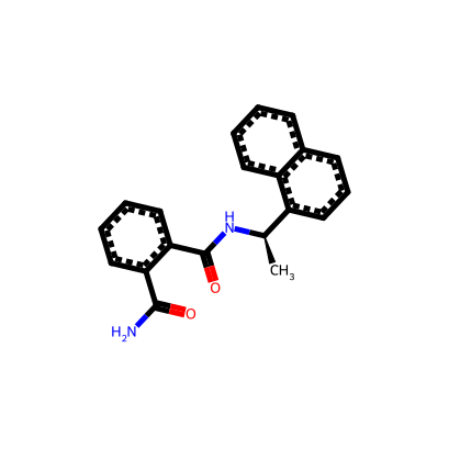 C[C@@H](NC(=O)c1ccccc1C(N)=O)c1cccc2ccccc12